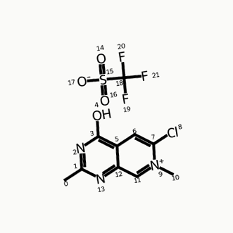 Cc1nc(O)c2cc(Cl)[n+](C)cc2n1.O=S(=O)([O-])C(F)(F)F